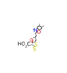 CC(=C\C=C1/Oc2cc(C)c(C)cc2N1C)/C=C1/SC(=S)C(CC(=O)O)C1=O